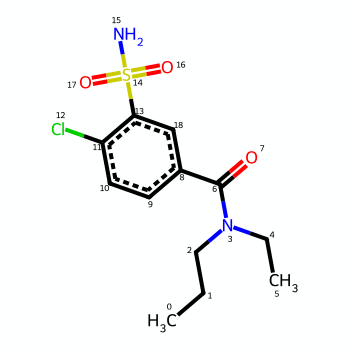 CCCN(CC)C(=O)c1ccc(Cl)c(S(N)(=O)=O)c1